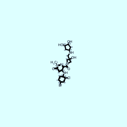 Cn1nc(C(=O)N2CC(O)(CNC3C[C@@H](O)[C@@H](O)C3)C2)c(Nc2ccc(Br)cc2Cl)cc1=O